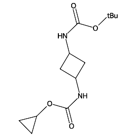 CC(C)(C)OC(=O)NC1CC(NC(=O)OC2CC2)C1